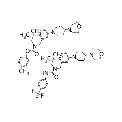 CC1(C)CN(C(=O)Nc2ccc(C(F)(F)F)cc2)Cc2cc(N3CCC(N4CCOCC4)CC3)ccc21.Cc1ccc(OC(=O)N2Cc3cc(N4CCC(N5CCOCC5)CC4)ccc3C(C)(C)C2)cc1